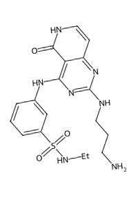 CCNS(=O)(=O)c1cccc(Nc2nc(NCCCN)nc3cc[nH]c(=O)c23)c1